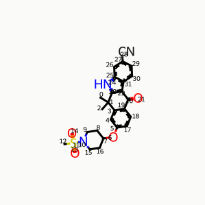 CC1(C)c2cc(OC3CCN(S(C)(=O)=O)CC3)ccc2C(=O)c2c1[nH]c1cc(C#N)ccc21